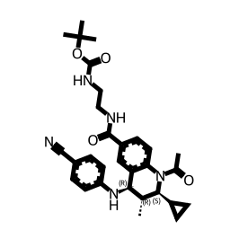 CC(=O)N1c2ccc(C(=O)NCCNC(=O)OC(C)(C)C)cc2[C@H](Nc2ccc(C#N)cc2)[C@@H](C)[C@@H]1C1CC1